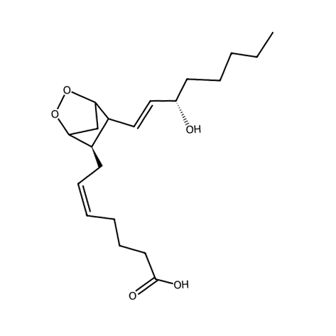 CCCCC[C@H](O)/C=C/C1C2CC(OO2)[C@@H]1C/C=C\CCCC(=O)O